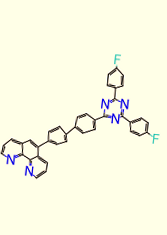 Fc1ccc(-c2nc(-c3ccc(F)cc3)nc(-c3ccc(-c4ccc(-c5cc6cccnc6c6ncccc56)cc4)cc3)n2)cc1